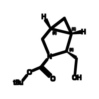 CC(C)(C)OC(=O)N1C[C@@H]2C[C@@H]2[C@@H]1CO